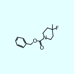 CC1(F)CCN(C(=O)OCc2ccccc2)CC1